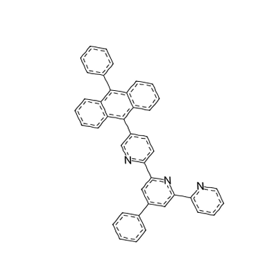 c1ccc(-c2cc(-c3ccccn3)nc(-c3ccc(-c4c5ccccc5c(-c5ccccc5)c5ccccc45)cn3)c2)cc1